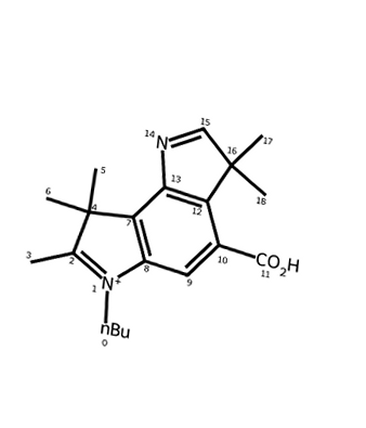 CCCC[N+]1=C(C)C(C)(C)c2c1cc(C(=O)O)c1c2N=CC1(C)C